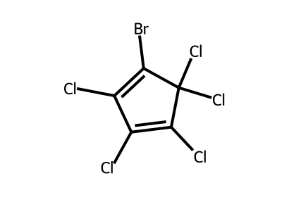 ClC1=C(Cl)C(Cl)(Cl)C(Br)=C1Cl